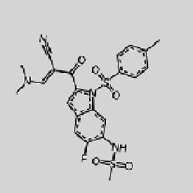 Cc1ccc(S(=O)(=O)n2c(C(=O)/C(C#N)=C/N(C)C)cc3cc(F)c(NS(C)(=O)=O)cc32)cc1